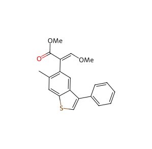 CO/C=C(/C(=O)OC)c1cc2c(-c3ccccc3)csc2cc1C